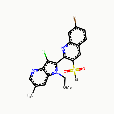 CCS(=O)(=O)c1cc2ccc(Br)cc2nc1-c1c(Cl)c2ncc(C(F)(F)F)cc2n1COC